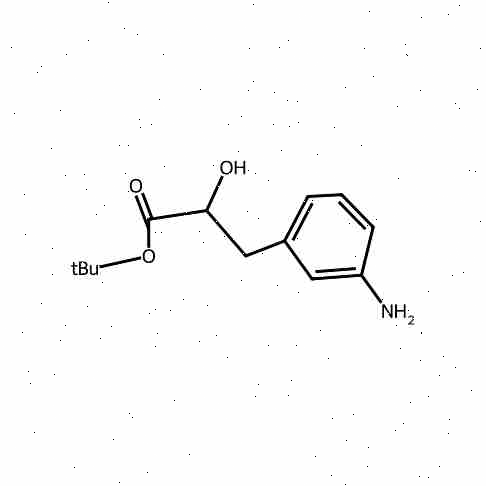 CC(C)(C)OC(=O)C(O)Cc1cccc(N)c1